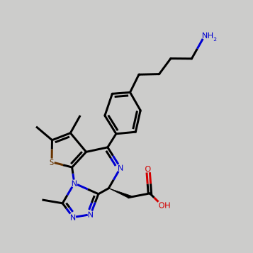 Cc1sc2c(c1C)C(c1ccc(CCCCN)cc1)=N[C@@H](CC(=O)O)c1nnc(C)n1-2